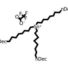 CCCCCCCCCCCCCCCCC[CH2][Sn+]([CH2]CCCCCCCCCCCCCCCCC)[CH2]CCCCCCCCCCCCCCCCC.O=C([O-])C(F)(F)F